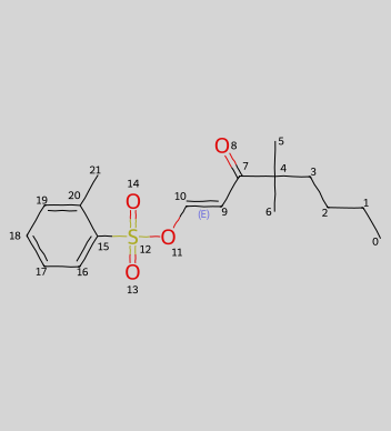 CCCCC(C)(C)C(=O)/C=C/OS(=O)(=O)c1ccccc1C